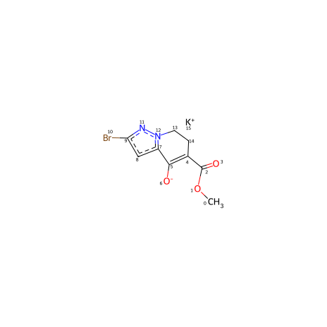 COC(=O)C1=C([O-])c2cc(Br)nn2CC1.[K+]